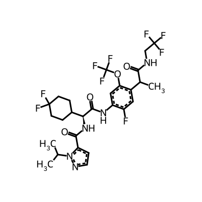 CC(C(=O)NCC(F)(F)F)c1cc(F)c(NC(=O)[C@@H](NC(=O)c2ccnn2C(C)C)C2CCC(F)(F)CC2)cc1OC(F)(F)F